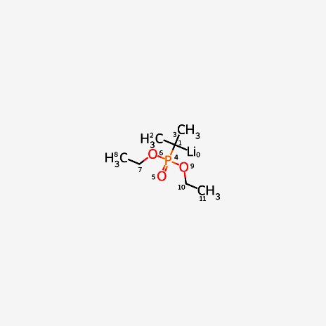 [Li][C](C)(C)P(=O)(OCC)OCC